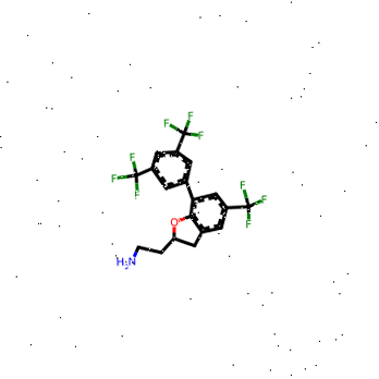 NCCC1Cc2cc(C(F)(F)F)cc(-c3cc(C(F)(F)F)cc(C(F)(F)F)c3)c2O1